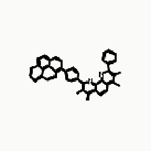 Cc1c(-c2ccccc2)nc2c(ccc3c(C)c(C)c(-c4ccc(-c5ccc6ccc7cccc8ccc5c6c78)cc4)nc32)c1C